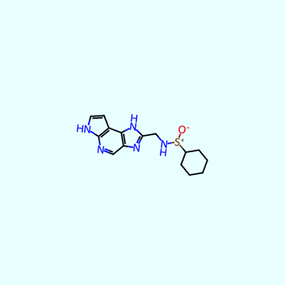 [O-][S+](NCc1nc2cnc3[nH]ccc3c2[nH]1)C1CCCCC1